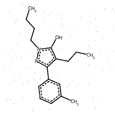 CCCCn1nc(-c2cccc(C)c2)c(CCC)c1O